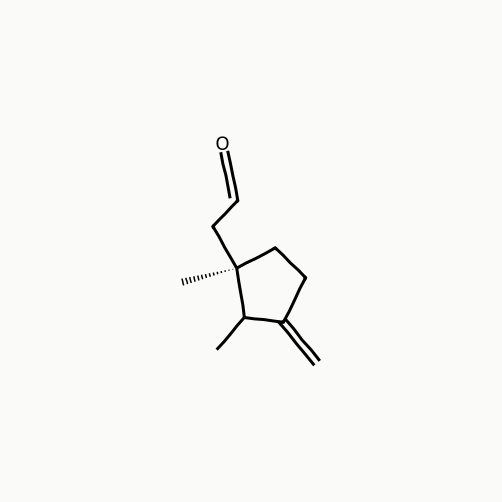 C=C1CC[C@](C)(CC=O)C1C